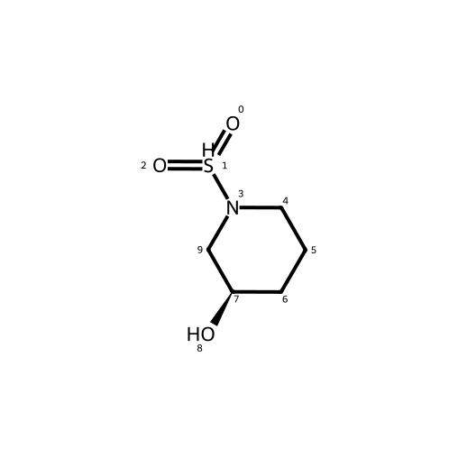 O=[SH](=O)N1CCC[C@@H](O)C1